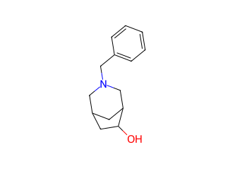 OC1CC2CC1CN(Cc1ccccc1)C2